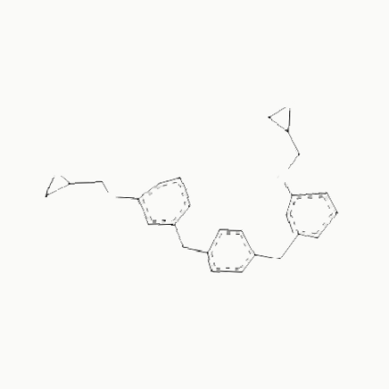 c1cc(Cc2ccc(Cc3cccc(OCC4CO4)c3)cc2)cc(OCC2CO2)c1